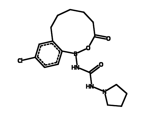 O=C(NB1OC(=O)CCCCCc2cc(Cl)ccc21)NN1CCCC1